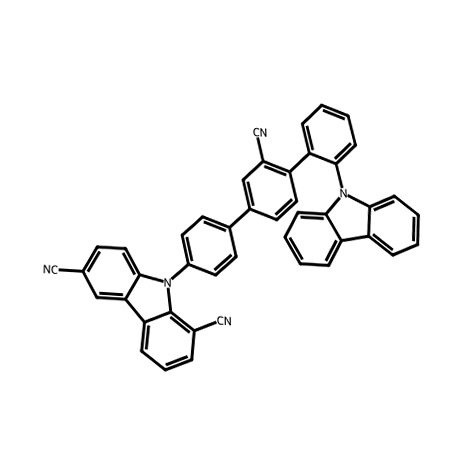 N#Cc1ccc2c(c1)c1cccc(C#N)c1n2-c1ccc(-c2ccc(-c3ccccc3-n3c4ccccc4c4ccccc43)c(C#N)c2)cc1